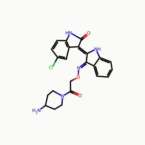 NC1CCN(C(=O)CO/N=C2/C(=C3/C(=O)Nc4ccc(Cl)cc43)Nc3ccccc32)CC1